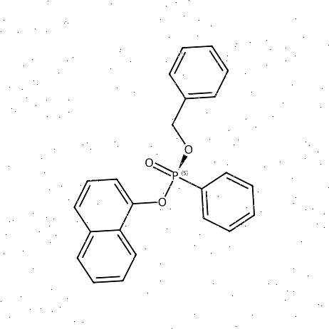 O=[P@@](OCc1ccccc1)(Oc1cccc2ccccc12)c1ccccc1